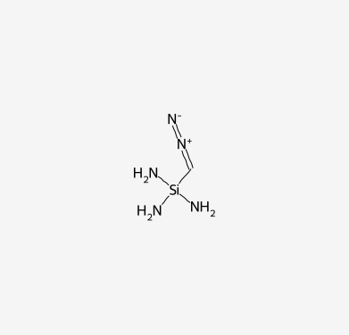 [N-]=[N+]=C[Si](N)(N)N